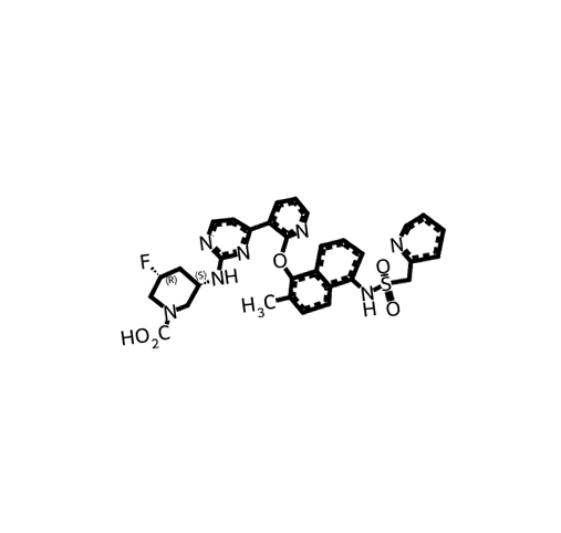 Cc1ccc2c(NS(=O)(=O)Cc3ccccn3)cccc2c1Oc1ncccc1-c1ccnc(N[C@H]2C[C@@H](F)CN(C(=O)O)C2)n1